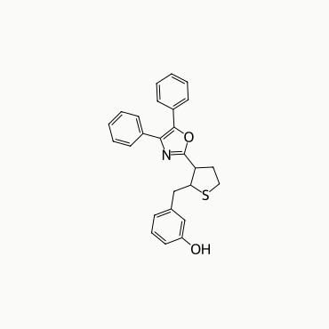 Oc1cccc(CC2SCCC2c2nc(-c3ccccc3)c(-c3ccccc3)o2)c1